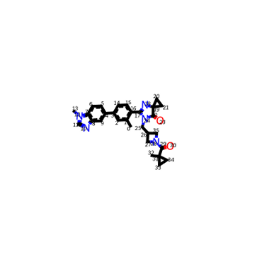 Cc1cc(-c2ccc3c(c2)ncn3C)ccc1C1=NC2(CC2)C(=O)N1CC1CN(C(=O)C2(C)CC2)C1